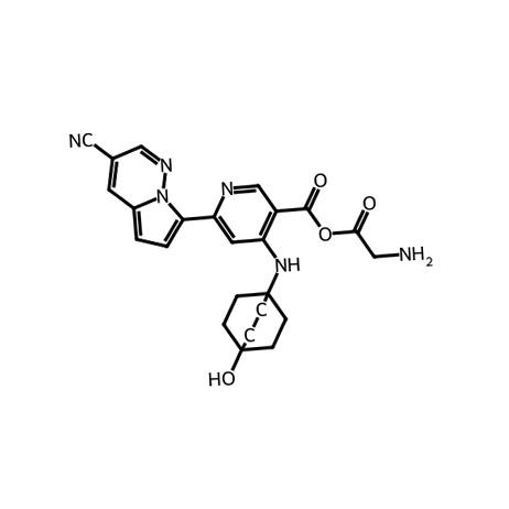 N#Cc1cnn2c(-c3cc(NC45CCC(O)(CC4)CC5)c(C(=O)OC(=O)CN)cn3)ccc2c1